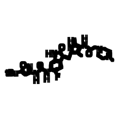 Cc1[nH]c(C=C2C(=O)Nc3cc(NC(=O)Nc4cc(C(C)(C)C)on4)c(F)cc32)c(C)c1NC(=O)CN1CCN(C)CC1